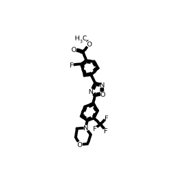 COC(=O)c1ccc(-c2noc(-c3ccc(N4CCOCC4)c(C(F)(F)F)c3)n2)cc1F